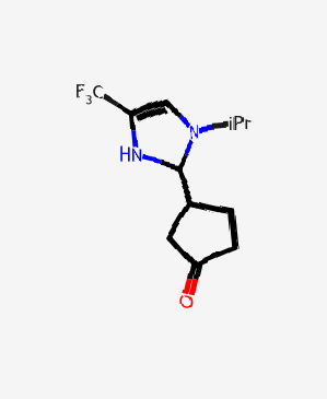 CC(C)N1C=C(C(F)(F)F)NC1C1CCC(=O)C1